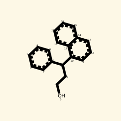 OCCC(c1ccccc1)c1cccc2ccccc12